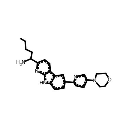 CCCCC(N)c1ccc2c(n1)[nH]c1ccc(-c3ccc(N4CCOCC4)cn3)cc12